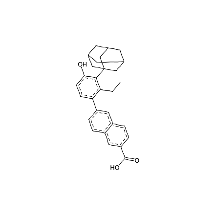 CCc1c(-c2ccc3cc(C(=O)O)ccc3c2)ccc(O)c1C12CC3CC(CC(C3)C1)C2